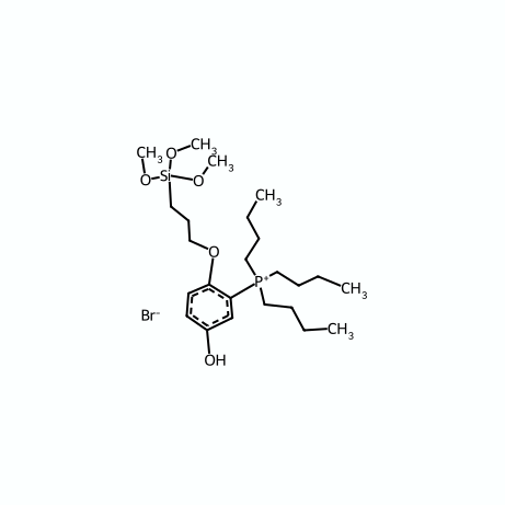 CCCC[P+](CCCC)(CCCC)c1cc(O)ccc1OCCC[Si](OC)(OC)OC.[Br-]